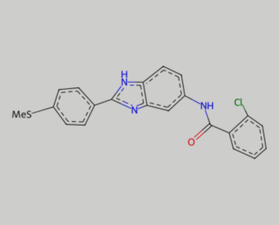 CSc1ccc(-c2nc3cc(NC(=O)c4ccccc4Cl)ccc3[nH]2)cc1